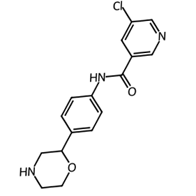 O=C(Nc1ccc(C2CNCCO2)cc1)c1cncc(Cl)c1